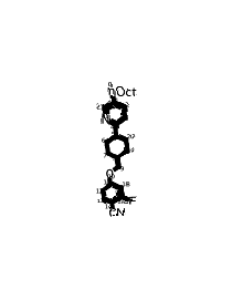 CCCCCCCCc1ccc(C2CCC(COc3ccc(C#N)c(F)c3)CC2)nc1